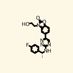 C[C@@H](Nc1ncc(-c2ccc3oc(=O)n(CCO)c3c2)nn1)c1ccc(F)cc1